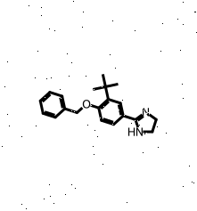 CC(C)(C)c1cc(C2=NCCN2)ccc1OCc1ccccc1